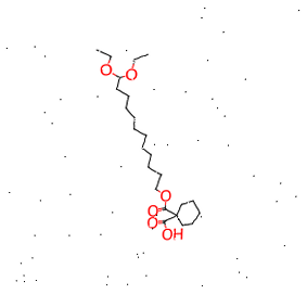 CCOC(CCCCCCCCCCCOC(=O)C1(C(=O)O)CCCCC1)OCC